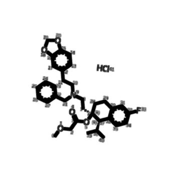 COCC(=O)O[C@@]1(CCN(CCc2ccc3c(c2)OCO3)Cc2ccccc2)CCc2cc(F)ccc2[C@H]1C(C)C.Cl